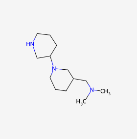 CN(C)CC1CCCN(C2CCCNC2)C1